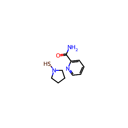 NC(=O)c1ccccn1.SN1CCCC1